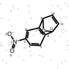 O=[N+]([O-])c1ccc2c(c1)C1C=CC2O1